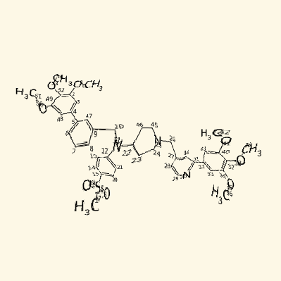 COc1cc(-c2cccc(CN(c3ccc(S(C)(=O)=O)cc3)C3CCN(Cc4ccnc(-c5cc(OC)c(OC)c(OC)c5)c4)CC3)c2)cc(OC)c1OC